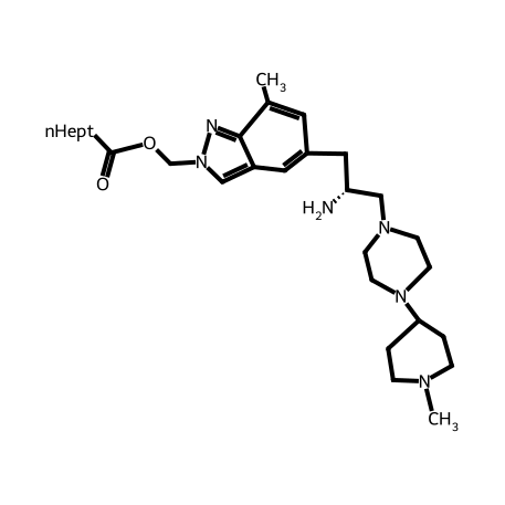 CCCCCCCC(=O)OCn1cc2cc(C[C@@H](N)CN3CCN(C4CCN(C)CC4)CC3)cc(C)c2n1